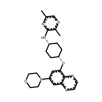 Cc1cnc(C)c(N[C@H]2CC[C@@H](Oc3cc(N4CCOCC4)cc4nccnc34)CC2)n1